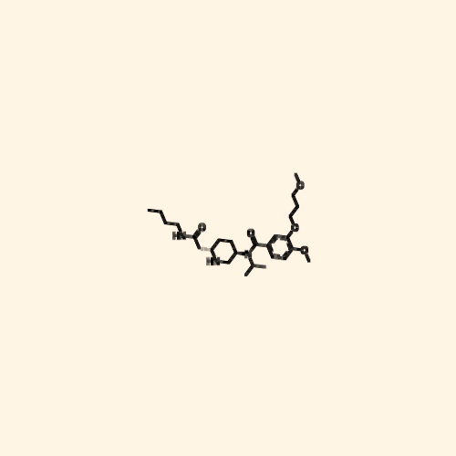 CCCCNC(=O)C[C@@H]1CC[C@@H](N(C(=O)c2ccc(OC)c(OCCCOC)c2)C(C)C)CN1